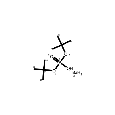 CC(C)(C)OP(=O)(O)OC(C)(C)C.[BaH2]